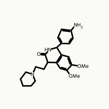 COc1cc2c(cc1OC)C(c1ccc(N)cc1)NC(=O)C2CCN1CCCCC1